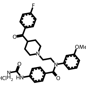 COc1cccc(N(CCN2CCC(C(=O)c3ccc(F)cc3)CC2)C(=O)c2ccc(NC(N)=O)cc2)c1.Cl